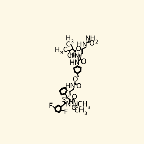 CCC(C(=O)N[C@@H](CCCNC(N)=O)C(=O)Nc1ccc(COC(=O)NCCC[C@@]2(c3ccccc3)SC(c3cc(F)ccc3F)=NN2C(=O)N(C)OC)cc1)C(C)C